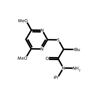 COc1cc(OC)nc(SC(C(=O)N(N)C(C)C)C(C)(C)C)n1